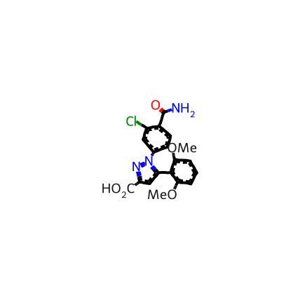 COc1cccc(OC)c1-c1cc(C(=O)O)nn1-c1ccc(C(N)=O)c(Cl)c1